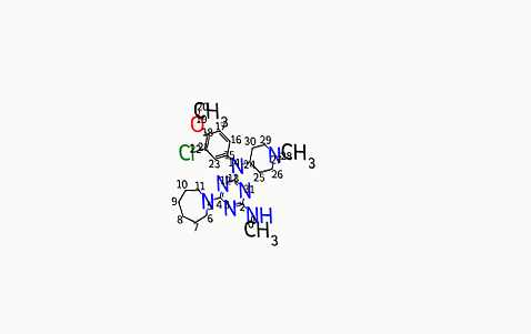 CNc1nc(N2CCCCCC2)nc(N(c2ccc(OC)c(Cl)c2)C2CCN(C)CC2)n1